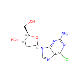 Nc1nc(Cl)c2ncn([C@@H]3C[C@H](O)[C@@H](CO)O3)c2n1